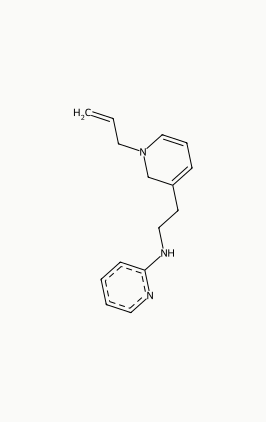 C=CCN1C=CC=C(CCNc2ccccn2)C1